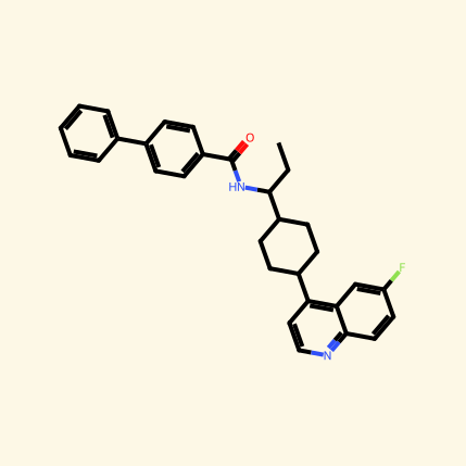 CCC(NC(=O)c1ccc(-c2ccccc2)cc1)C1CCC(c2ccnc3ccc(F)cc23)CC1